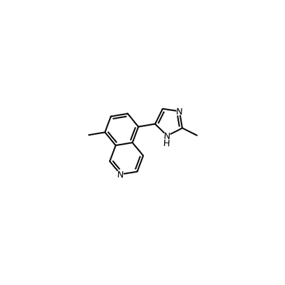 Cc1ncc(-c2ccc(C)c3cnccc23)[nH]1